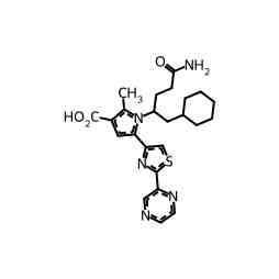 Cc1c(C(=O)O)cc(-c2csc(-c3cnccn3)n2)n1C(CCC(N)=O)CC1CCCCC1